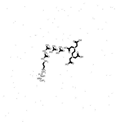 CC(=O)O.CC(=O)O.CC(=O)O.CC(=O)O.NCCN.O.O.O=C(O)CN(CCN(CC(=O)O)CC(=O)O)CC(=O)O.[CaH2].[NaH].[NaH]